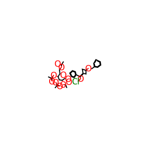 COC(=C1CC(OCc2ccccc2)C1)c1cccc(OC2OC(COC(C)=O)C(OC(C)=O)C(OC(C)=O)C2OC(C)=O)c1Cl